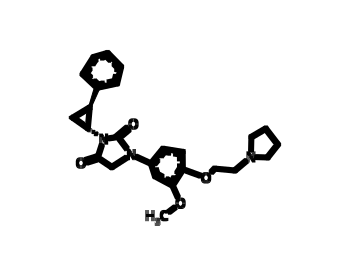 COc1cc(N2CC(=O)N([C@@H]3C[C@H]3c3ccccc3)C2=O)ccc1OCCN1CCCC1